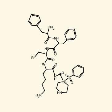 CC(C)C[C@@H](NC(=O)[C@@H](Cc1ccccc1)NC(=O)[C@H](N)Cc1ccccc1)C(=O)N[C@H](CCCCN)C(=O)NC(=O)[N+]1(S(=O)(=O)c2ccccc2)CCNCC1